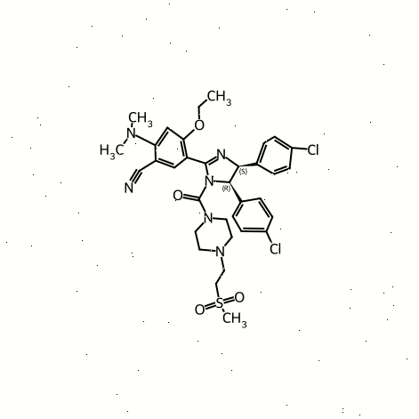 CCOc1cc(N(C)C)c(C#N)cc1C1=N[C@@H](c2ccc(Cl)cc2)[C@@H](c2ccc(Cl)cc2)N1C(=O)N1CCN(CCS(C)(=O)=O)CC1